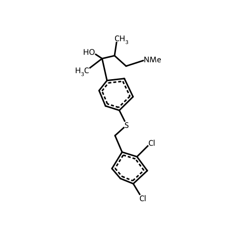 CNCC(C)C(C)(O)c1ccc(SCc2ccc(Cl)cc2Cl)cc1